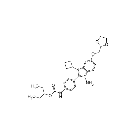 CCC(CC)OC(=O)Nc1ccc(-c2c(N)c3ccc(OCC4OCCO4)cc3n2C2CCC2)cc1